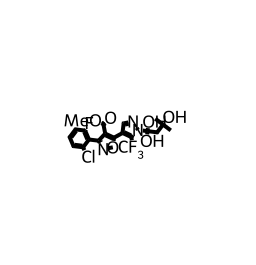 COC(=O)c1c(-c2c(F)cccc2Cl)noc1-c1cnn(C(O)(O)CC(C)(C)O)c1C(F)(F)F